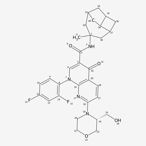 CC1(NC(=O)c2cn(-c3ccc(F)cc3F)c3nc(N4CCOC[C@H]4CO)ccc3c2=O)CC2CC3CC(C1)C3C2